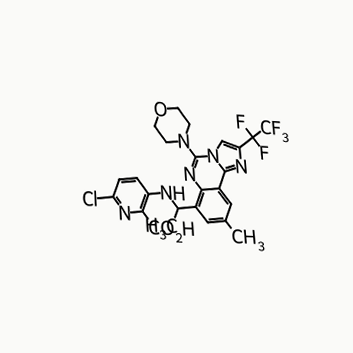 Cc1cc(C(C)Nc2ccc(Cl)nc2C(=O)O)c2nc(N3CCOCC3)n3cc(C(F)(F)C(F)(F)F)nc3c2c1